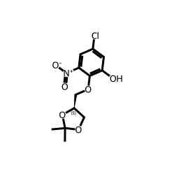 CC1(C)OC[C@H](COc2c(O)cc(Cl)cc2[N+](=O)[O-])O1